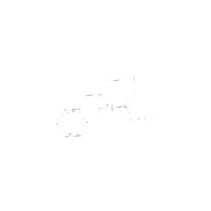 O=C(O)C(=O)N[C@@H](CO)Cc1ccccc1